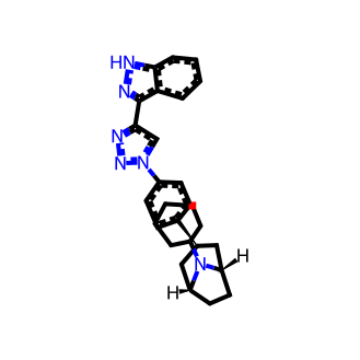 c1ccc2c(-c3cn(-c4ccc([C@@H]5C[C@H]6CC[C@@H](C5)N6C5CCCCC5)cc4)nn3)n[nH]c2c1